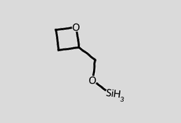 [SiH3]OCC1CCO1